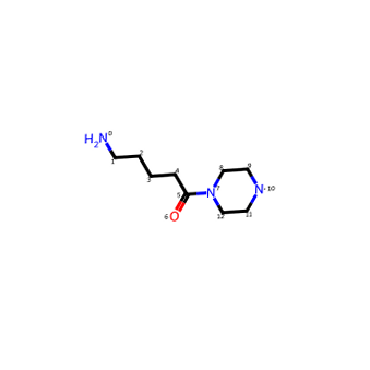 NCCCCC(=O)N1CC[N]CC1